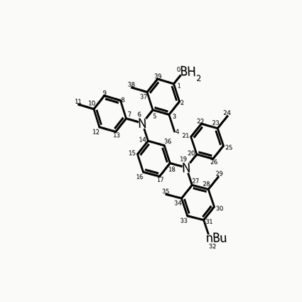 Bc1cc(C)c(N(c2ccc(C)cc2)c2cccc(N(c3ccc(C)cc3)c3c(C)cc(CCCC)cc3C)c2)c(C)c1